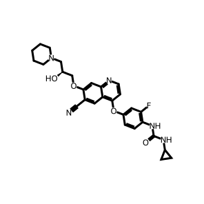 N#Cc1cc2c(Oc3ccc(NC(=O)NC4CC4)c(F)c3)ccnc2cc1OC[C@@H](O)CN1CCCCC1